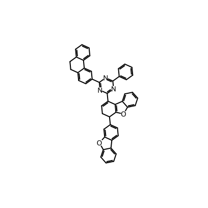 C1=C(c2nc(-c3ccccc3)nc(-c3ccc4c(c3)-c3ccccc3CC4)n2)c2c(oc3ccccc23)C(c2ccc3c(c2)oc2ccccc23)C1